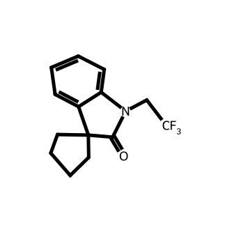 O=C1N(CC(F)(F)F)c2ccccc2C12CCCC2